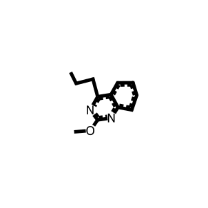 CCCc1nc(OC)nc2ccccc12